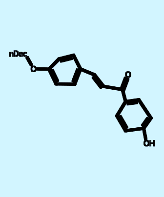 CCCCCCCCCCOc1ccc(C=CC(=O)c2ccc(O)cc2)cc1